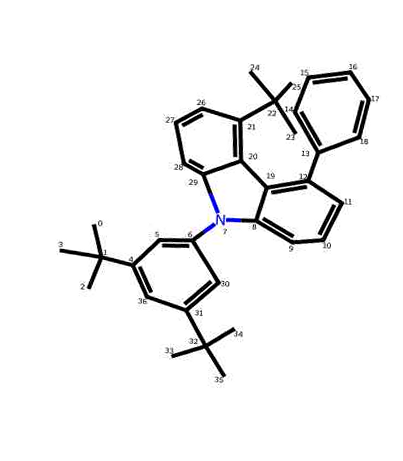 CC(C)(C)c1cc(-n2c3cccc(-c4ccccc4)c3c3c(C(C)(C)C)cccc32)cc(C(C)(C)C)c1